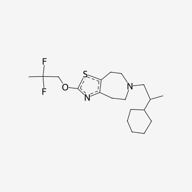 CC(CN1CCc2nc(OCC(C)(F)F)sc2CC1)C1CCCCC1